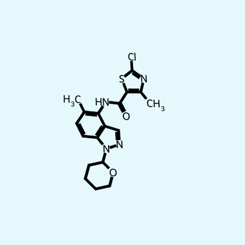 Cc1ccc2c(cnn2C2CCCCO2)c1NC(=O)c1sc(Cl)nc1C